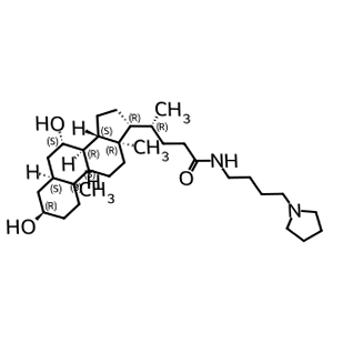 C[C@H](CCC(=O)NCCCCN1CCCC1)[C@H]1CC[C@H]2[C@@H]3[C@@H](O)C[C@@H]4C[C@H](O)CC[C@]4(C)[C@H]3CC[C@]12C